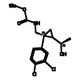 C[C@@H](O)C1C[C@]1(CNC(=O)OC(C)(C)C)c1ccc(Cl)c(Cl)c1